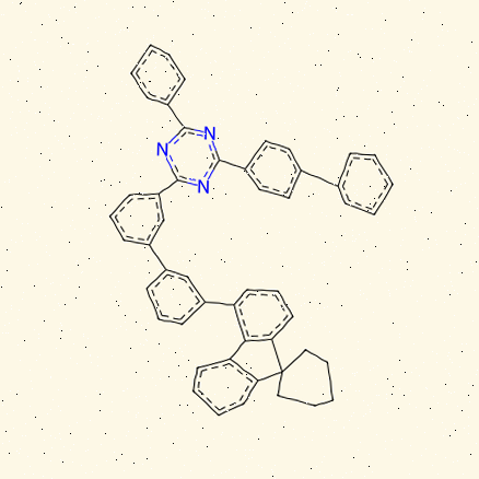 c1ccc(-c2ccc(-c3nc(-c4ccccc4)nc(-c4cccc(-c5cccc(-c6cccc7c6-c6ccccc6C76CCCCC6)c5)c4)n3)cc2)cc1